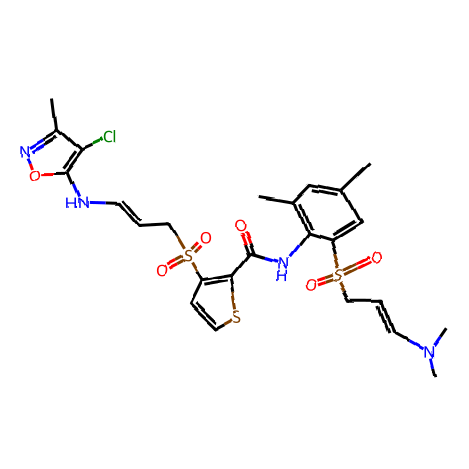 Cc1cc(C)c(NC(=O)c2sccc2S(=O)(=O)CC=CNc2onc(C)c2Cl)c(S(=O)(=O)CC=CN(C)C)c1